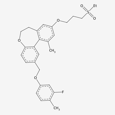 CCS(=O)(=O)CCCOc1cc(C)c2c(c1)CCOc1ccc(COc3ccc(C)c(F)c3)cc1-2